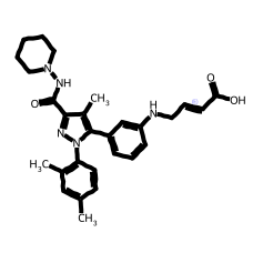 Cc1ccc(-n2nc(C(=O)NN3CCCCC3)c(C)c2-c2cccc(NC/C=C/C(=O)O)c2)c(C)c1